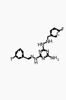 Nc1nc(NN=Cc2cccc(F)c2)nc(NNCc2ccc(F)cc2)n1